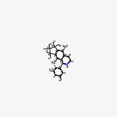 [2H]c1c2c(c([2H])c3c(-c4cc(C)cc(C)c4)nccc13)C(C)(C)C(C)(C)C2(C)C